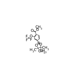 COC(=O)c1ccc(B2OC(C)(C)C(C)(C)O2)cc1OC(F)(F)F